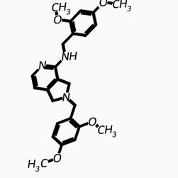 COc1ccc(CNc2nccc3c2CN(Cc2ccc(OC)cc2OC)C3)c(OC)c1